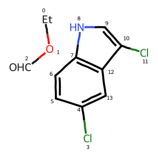 CCOC=O.Clc1ccc2[nH]cc(Cl)c2c1